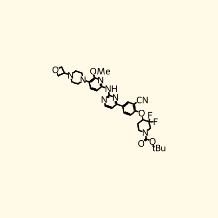 COc1nc(Nc2nccc(-c3ccc(OC4CCN(C(=O)OC(C)(C)C)CC4(F)F)c(C#N)c3)n2)ccc1N1CCN(C2COC2)CC1